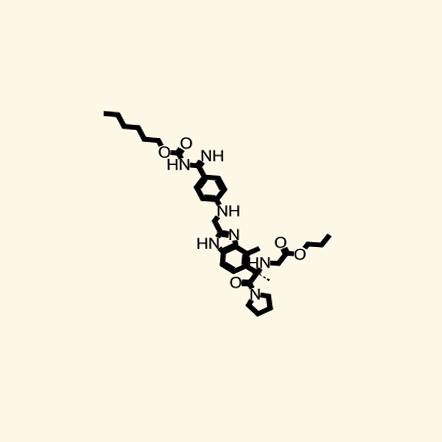 CCCCCCOC(=O)NC(=N)c1ccc(NCc2nc3c(C)c([C@@](C)(NCC(=O)OCCC)C(=O)N4CCCC4)ccc3[nH]2)cc1